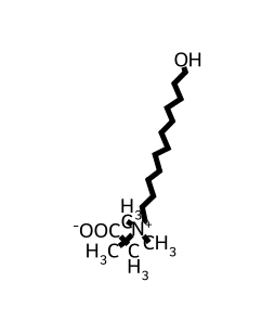 CC(C)(C(=O)[O-])[N+](C)(C)CCCCCCCCCCCCCO